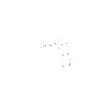 O=C([O-])C(=O)[O-].O=C([O-])C(=O)[O-].O=C([O-])C(=O)[O-].O=C([O-])C(=O)[O-].[Eu+2].[Gd+3].[Y+3]